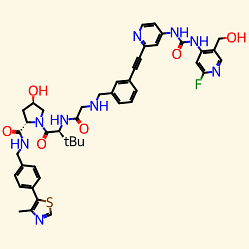 Cc1ncsc1-c1ccc(CNC(=O)[C@@H]2C[C@@H](O)CN2C(=O)[C@@H](NC(=O)CNCc2cccc(C#Cc3cc(NC(=O)Nc4cc(F)ncc4CO)ccn3)c2)C(C)(C)C)cc1